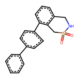 O=S1(=O)Cc2c(cccc2-c2ccc(-c3ccccc3)cc2)CN1